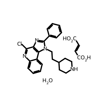 Clc1nc2ccccc2c2c1nc(-c1ccccc1)n2CCC1CCNCC1.O.O=C(O)C=CC(=O)O